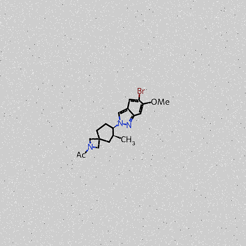 COc1cc2nn([C@@H]3CCC4(C[C@@H]3C)CN(C(C)=O)C4)cc2cc1Br